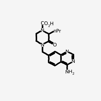 CCCC1C(=O)N(Cc2ccc3c(N)ncnc3c2)CCN1C(=O)O